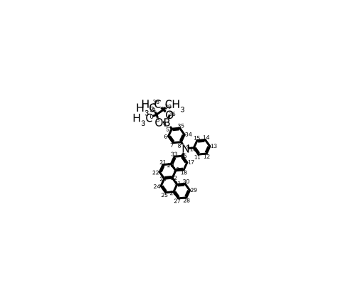 CC1(C)OB(c2ccc(N(c3ccccc3)c3ccc4c(ccc5ccc6ccccc6c54)c3)cc2)OC1(C)C